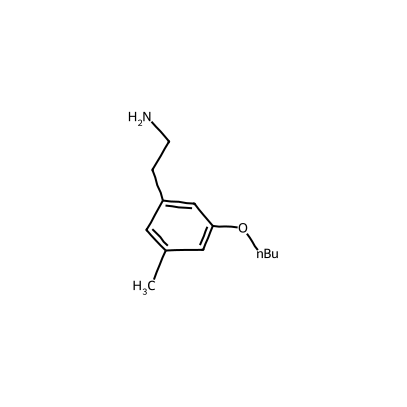 CCCCOc1cc(C)cc(CCN)c1